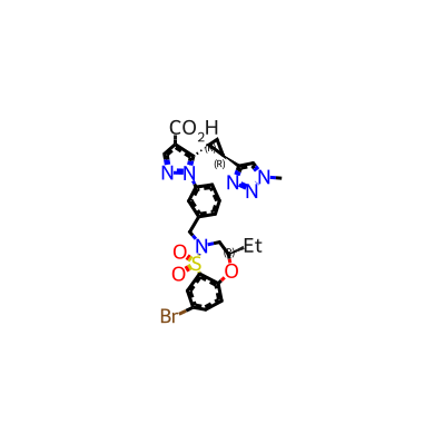 CC[C@@H]1CN(Cc2cccc(-n3ncc(C(=O)O)c3[C@@H]3C[C@H]3c3cn(C)nn3)c2)S(=O)(=O)c2cc(Br)ccc2O1